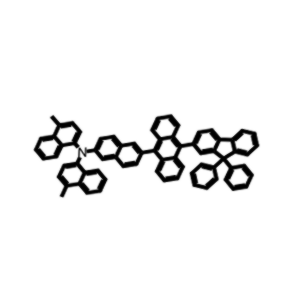 Cc1ccc(N(c2ccc3cc(-c4c5ccccc5c(-c5ccc6c(c5)C(c5ccccc5)(c5ccccc5)c5ccccc5-6)c5ccccc45)ccc3c2)c2ccc(C)c3ccccc23)c2ccccc12